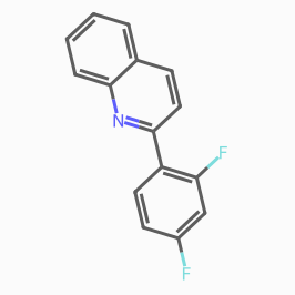 Fc1ccc(-c2ccc3ccccc3n2)c(F)c1